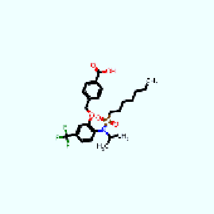 CCCCCCCS(=O)(=O)N(c1ccc(C(F)(F)F)cc1OCc1ccc(C(=O)O)cc1)C(C)C